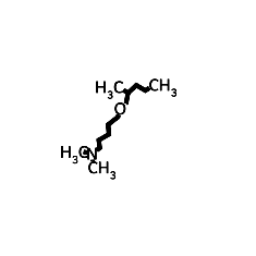 CCCC(C)COCCCCCN(C)C